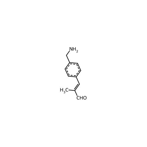 CC(C=O)=Cc1ccc(CN)cc1